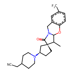 CC1C2Oc3ccc(C(F)(F)F)cc3CN2C(=O)[C@]12CC[C@@H](N1CCC(CC#N)CC1)C2